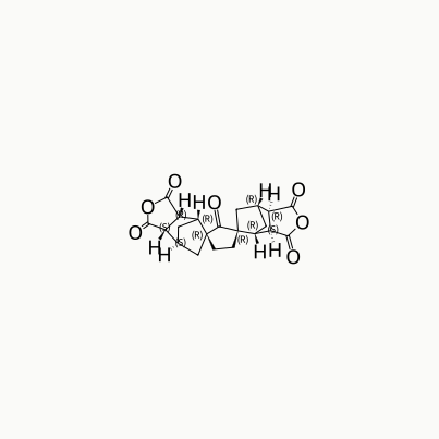 O=C1OC(=O)[C@@H]2[C@H]1[C@@H]1C[C@H]2[C@@]2(CC[C@]3(C[C@@H]4C[C@@H]3[C@H]3C(=O)OC(=O)[C@@H]43)C2=O)C1